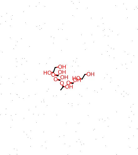 CC(=O)O.O=CO.O=CO.O=CO.OCCO.OCCO